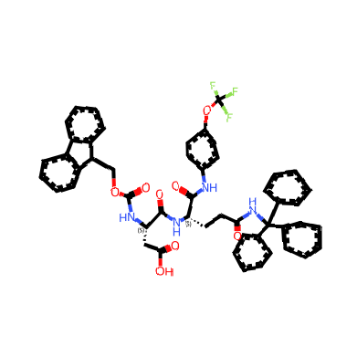 O=C(O)C[C@H](NC(=O)OCC1c2ccccc2-c2ccccc21)C(=O)N[C@@H](CCC(=O)NC(c1ccccc1)(c1ccccc1)c1ccccc1)C(=O)Nc1ccc(OC(F)(F)F)cc1